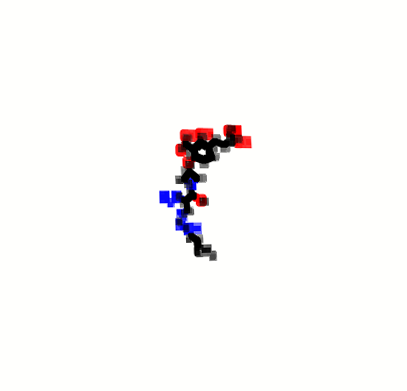 C=CCN/N=N\CC(N)C(=O)N1CC(Oc2ccc(CCB(O)O)c(O)c2C(=O)O)C1